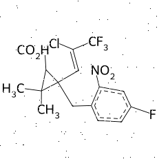 CC1(C)C(C(=O)O)C1(C=C(Cl)C(F)(F)F)Cc1ccc(F)cc1[N+](=O)[O-]